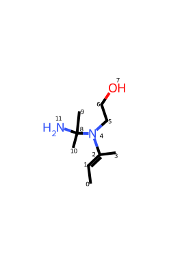 C/C=C(\C)N(CCO)C(C)(C)N